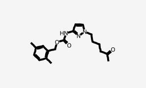 CC(=O)CCCCn1ccc(NC(=O)OCc2cc(C)ccc2C)n1